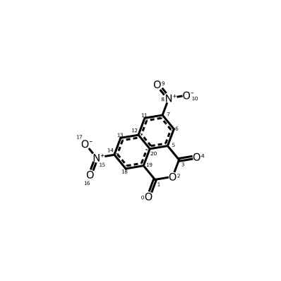 O=C1OC(=O)c2cc([N+](=O)[O-])cc3cc([N+](=O)[O-])cc1c23